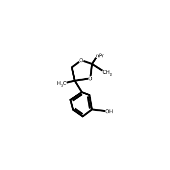 CCCC1(C)OCC(C)(c2cccc(O)c2)O1